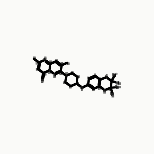 [2H]C1([2H])Oc2ccc(OC3CCN(c4nn5c(=O)cc(C)nc5cc4C)CC3)cc2OC1([2H])[2H]